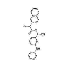 CC(C)C(C(=O)OC(C#N)c1cccc(Nc2ccccc2)c1)c1ccc2ccccc2c1